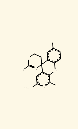 COc1cc2c(c(F)n1)Oc1ccc(Br)cc1C21CCOC(N)=N1